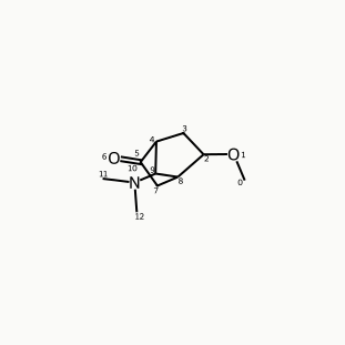 COC1CC2C(=O)CC1C2N(C)C